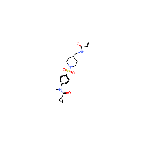 C=CC(=O)NCC1CCN(S(=O)(=O)c2ccc(N(C)C(=O)C3CC3)cc2)CC1